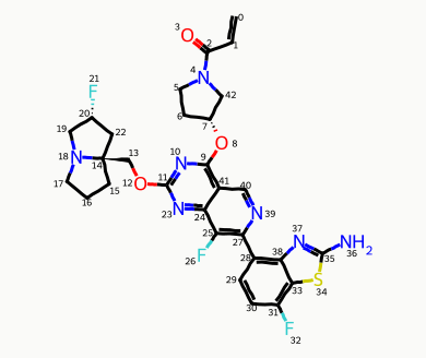 C=CC(=O)N1CC[C@@H](Oc2nc(OC[C@@]34CCCN3C[C@H](F)C4)nc3c(F)c(-c4ccc(F)c5sc(N)nc45)ncc23)C1